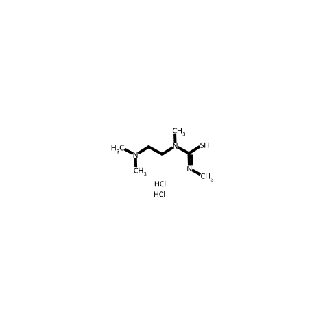 CN=C(S)N(C)CCN(C)C.Cl.Cl